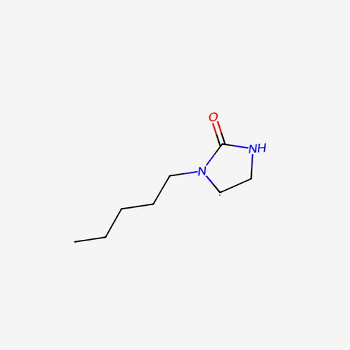 CCCCCN1[CH]CNC1=O